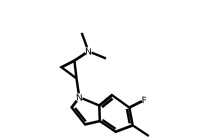 Cc1cc2ccn(C3CC3N(C)C)c2cc1F